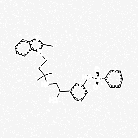 Cc1nc2ccccc2n1CCC(C)(C)NCC(O)c1cccc(NS(=O)(=O)c2ccccc2)c1